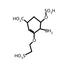 BC1C(OCCS(=O)(=O)O)=CC(C(=O)O)CC1OS(=O)(=O)O